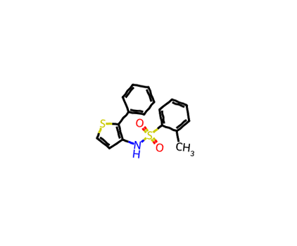 Cc1ccccc1S(=O)(=O)Nc1ccsc1-c1ccccc1